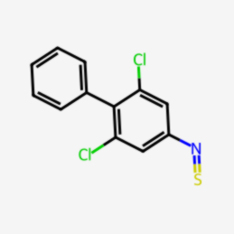 S=Nc1cc(Cl)c(-c2ccccc2)c(Cl)c1